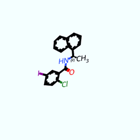 C[C@@H](NC(=O)c1cc(I)ccc1Cl)c1cccc2ccccc12